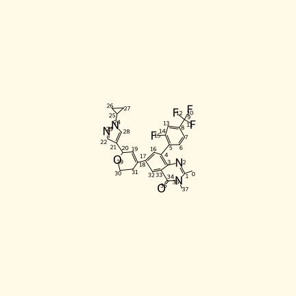 Cc1nc2c(-c3ccc(C(F)(F)F)cc3F)cc(C3=CC(c4cnn(C5CC5)c4)OCC3)cc2c(=O)n1C